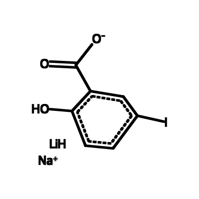 O=C([O-])c1cc(I)ccc1O.[LiH].[Na+]